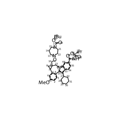 COc1ccc2c(c1)C1CC1(CON1CCCN(C(=O)OC(C)(C)C)CC1)Cn1c-2c(C2CCCCC2)c2ccc(C(=O)NS(=O)(=O)C(C)C)cc21